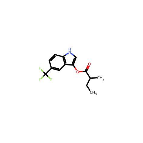 CCC(C)C(=O)Oc1c[nH]c2ccc(C(F)(F)F)cc12